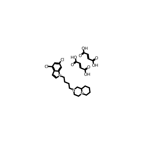 Clc1cc(Cl)c2ccn(CCCCN3CCN4CCCCC4C3)c2c1.O=C(O)/C=C/C(=O)O.O=C(O)/C=C/C(=O)O